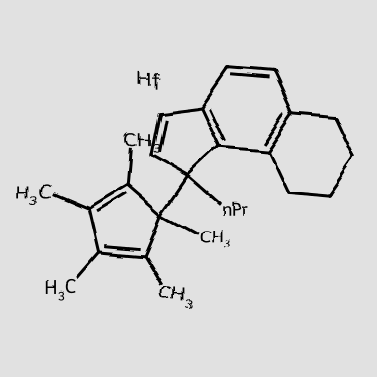 CCCC1(C2(C)C(C)=C(C)C(C)=C2C)C=Cc2ccc3c(c21)CCCC3.[Hf]